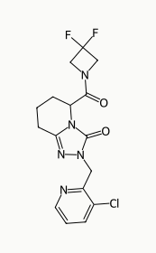 O=C(C1CCCc2nn(Cc3ncccc3Cl)c(=O)n21)N1CC(F)(F)C1